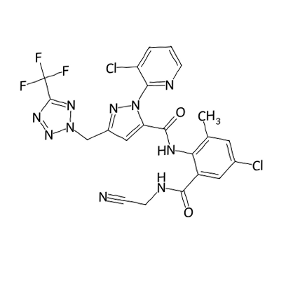 Cc1cc(Cl)cc(C(=O)NCC#N)c1NC(=O)c1cc(Cn2nnc(C(F)(F)F)n2)nn1-c1ncccc1Cl